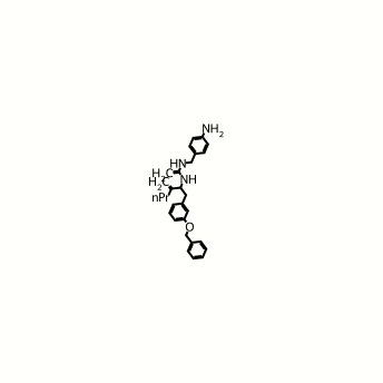 C=C(NCc1ccc(N)cc1)NC(Cc1cccc(OCc2ccccc2)c1)C(=C)CCC